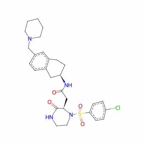 O=C(C[C@@H]1C(=O)NCCN1S(=O)(=O)c1ccc(Cl)cc1)N[C@@H]1CCc2cc(CN3CCCCC3)ccc2C1